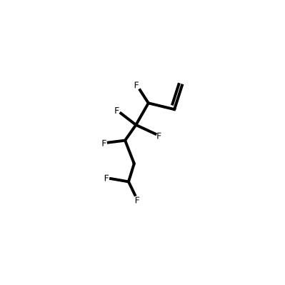 C=CC(F)C(F)(F)C(F)CC(F)F